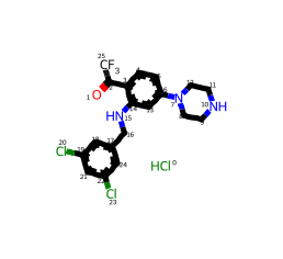 Cl.O=C(c1ccc(N2CCNCC2)cc1NCc1cc(Cl)cc(Cl)c1)C(F)(F)F